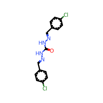 O=C(N/N=C/c1ccc(Cl)cc1)N/N=C/c1ccc(Cl)cc1